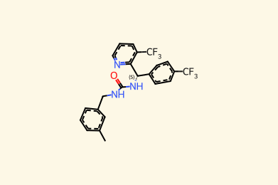 Cc1cccc(CNC(=O)N[C@@H](c2ccc(C(F)(F)F)cc2)c2ncccc2C(F)(F)F)c1